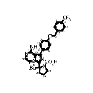 CC(C)(C)C1(c2nc(-c3ccc(OCc4ccc(C(F)(F)F)cc4)cc3)c3c(N)nccn23)CCCN1C(=O)O